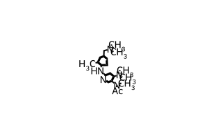 CC(=O)N(C)c1cnc(Nc2ccc(CN(C)C)cc2C)cc1N(C)C